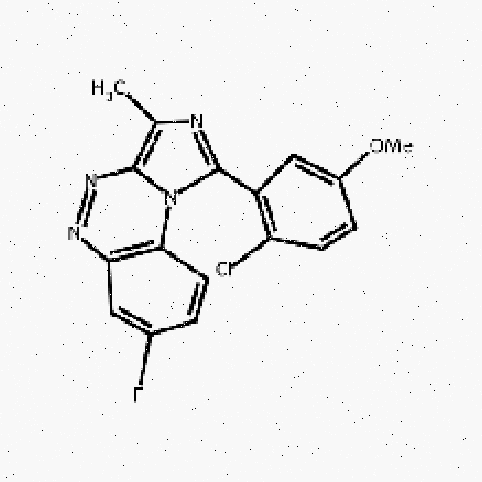 COc1ccc(Cl)c(-c2nc(C)c3nnc4cc(F)ccc4n23)c1